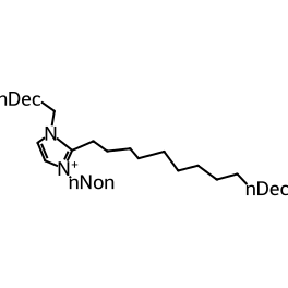 CCCCCCCCCCCCCCCCCCCc1n(CCCCCCCCCCC)cc[n+]1CCCCCCCCC